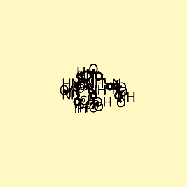 CC(C)c1ccc(CNC(=O)[C@H](CCC(N)=O)NC(=O)[C@@H]2CC[C@@H]3CCN(C(=O)C4CCC(CCc5ccc6c(c5)n(C)c(=O)n6C5CCC(=O)NC5=O)CC4)C[C@H](NC(=O)c4cc5cc(C(=O)P(=O)(O)O)ccc5[nH]4)C(=O)N32)c(Cl)c1